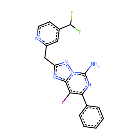 Nc1nc(-c2ccccc2)c(I)c2nc(Cc3cc(C(F)F)ccn3)nn12